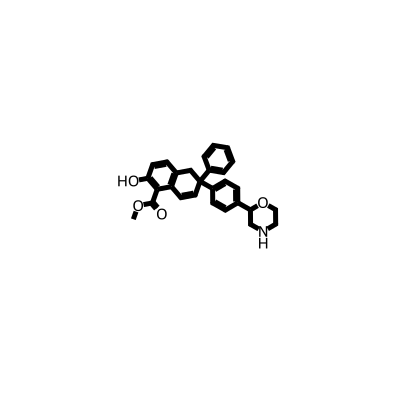 COC(=O)c1c(O)ccc2c1C=CC(c1ccccc1)(c1ccc(C3CNCCO3)cc1)C2